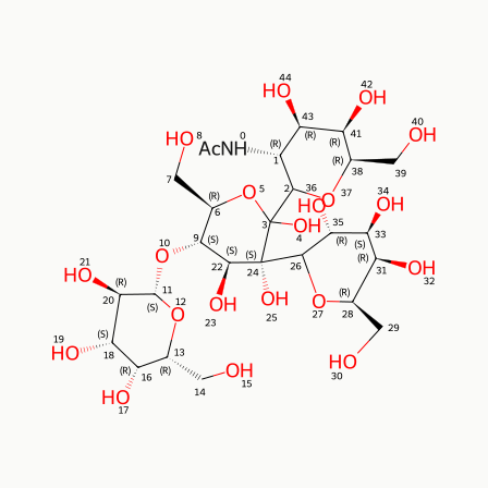 CC(=O)N[C@H]1C(C2(O)O[C@H](CO)[C@@H](O[C@@H]3O[C@H](CO)[C@H](O)[C@H](O)[C@H]3O)[C@H](O)[C@]2(O)C2O[C@H](CO)[C@H](O)[C@H](O)[C@H]2O)O[C@H](CO)[C@H](O)[C@@H]1O